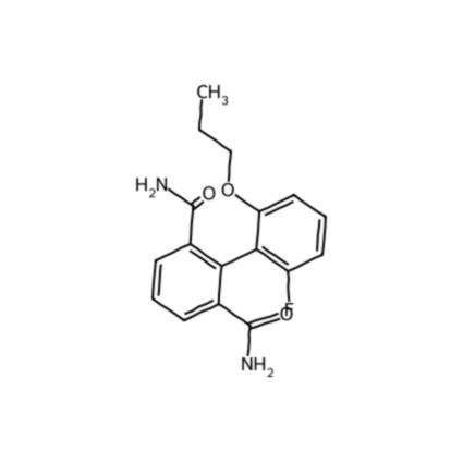 CCCOc1cccc(F)c1-c1c(C(N)=O)cccc1C(N)=O